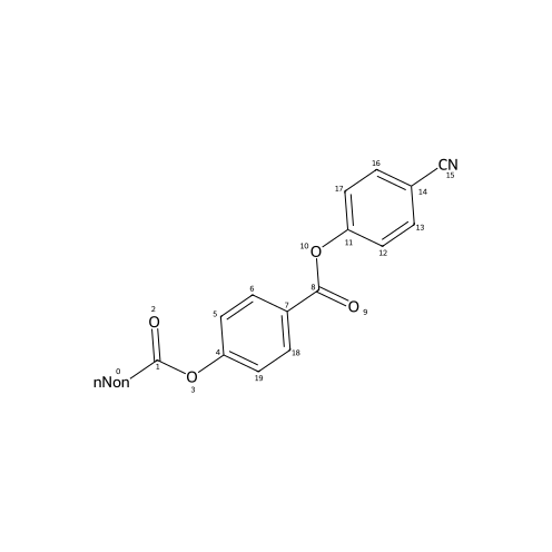 CCCCCCCCCC(=O)Oc1ccc(C(=O)Oc2ccc(C#N)cc2)cc1